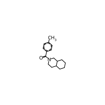 Cc1ccc(C(=O)N2CCC3CCCCC3C2)cc1